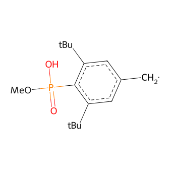 [CH2]c1cc(C(C)(C)C)c(P(=O)(O)OC)c(C(C)(C)C)c1